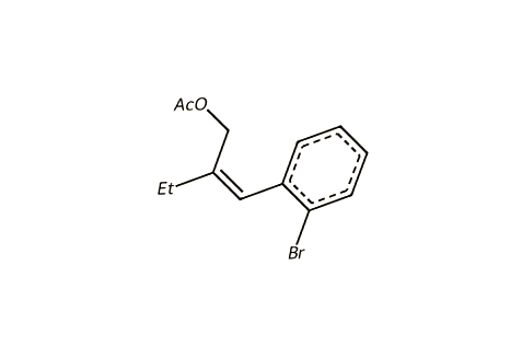 CCC(=Cc1ccccc1Br)COC(C)=O